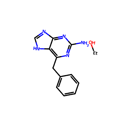 CCO.Nc1nc(Cc2ccccc2)c2[nH]cnc2n1